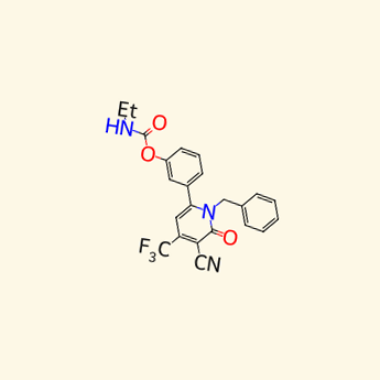 CCNC(=O)Oc1cccc(-c2cc(C(F)(F)F)c(C#N)c(=O)n2Cc2ccccc2)c1